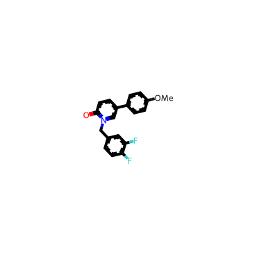 COc1ccc(-c2ccc(=O)n(Cc3ccc(F)c(F)c3)c2)cc1